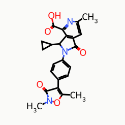 Cc1cc2c(c(C(=O)O)n1)C(C1CC1)N(c1ccc(-c3c(C)on(C)c3=O)cc1)C2=O